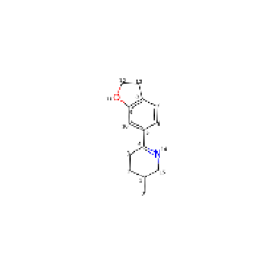 CC1CCC(c2ccc3c(c2)OCC3)=NC1